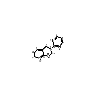 C1=C2CN(c3ncccn3)COC2=NCC1